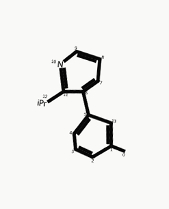 Cc1cccc(-c2cccnc2C(C)C)c1